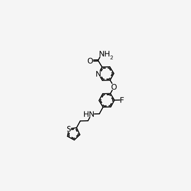 NC(=O)c1ccc(Oc2ccc(CNCCc3cccs3)cc2F)cn1